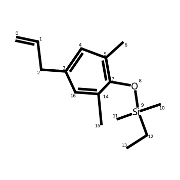 C=CCc1cc(C)c(O[Si](C)(C)CC)c(C)c1